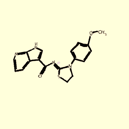 COc1ccc(N2CCS/C2=N\C(=O)c2c[nH]c3ncccc23)cc1